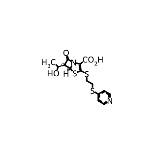 CC(O)[C@H]1C(=O)N2C(C(=O)O)=C(SCCSc3ccncc3)S[C@H]12